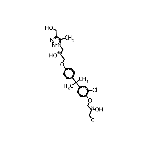 Cc1c(CO)nnn1C[C@@H](O)COc1ccc(C(C)(C)c2ccc(OC[C@@H](O)CCl)c(Cl)c2)cc1